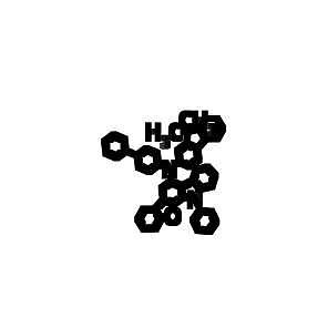 CC1(C)C2=C(C=CCC2)c2ccc(N(c3ccc(-c4ccccc4)cc3)c3cc4c5ccccc5oc4c4c3c3ccccc3n4-c3ccccc3)cc21